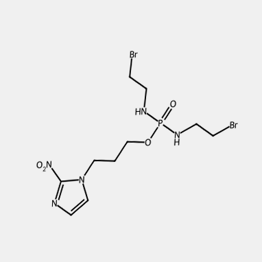 O=[N+]([O-])c1nccn1CCCOP(=O)(NCCBr)NCCBr